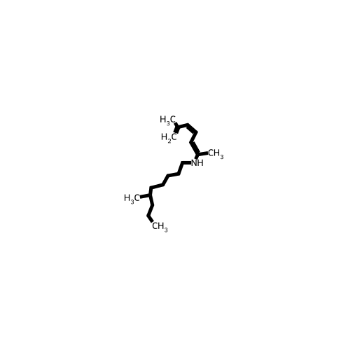 C=C(C)/C=C\C=C(/C)NCCCCCC(C)CCC